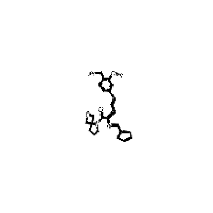 COc1cc(CC/C=C(/N=C/C2=CC=CC2)C(=O)N2CCCC23COC3)ccc1CC(C)C